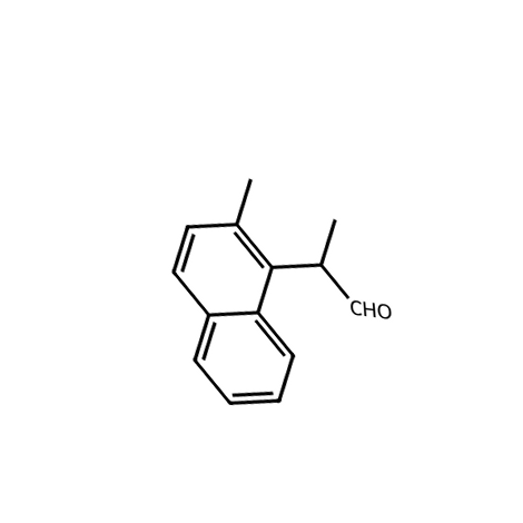 Cc1ccc2ccccc2c1C(C)C=O